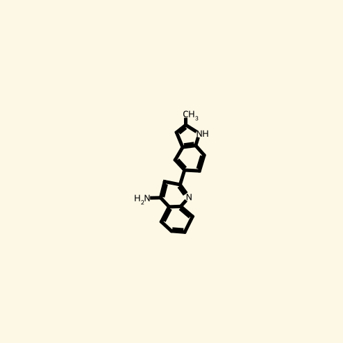 Cc1cc2cc(-c3cc(N)c4ccccc4n3)ccc2[nH]1